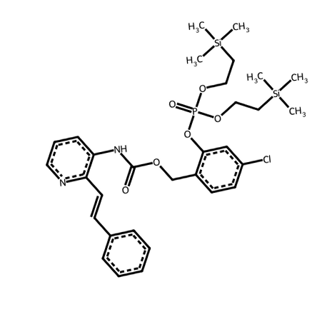 C[Si](C)(C)CCOP(=O)(OCC[Si](C)(C)C)Oc1cc(Cl)ccc1COC(=O)Nc1cccnc1C=Cc1ccccc1